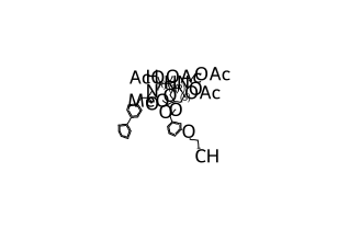 C#CCCOc1cccc(COC2(C(=O)OC)C[C@H](OC(C)=O)[C@@H](NC(=O)COC(C)=O)[C@H]([C@H](OC(C)=O)[C@@H](CNC(=O)Cc3ccc(-c4ccccc4)cc3)OC(C)=O)O2)c1